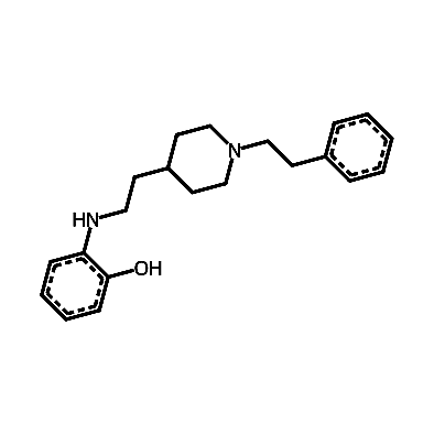 Oc1ccccc1NCCC1CCN(CCc2ccccc2)CC1